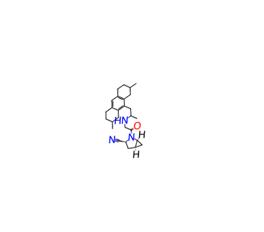 CC1CCc2cc3c(c(CC(C)NCC(=O)N4[C@H](C#N)C[C@@H]5C[C@@H]54)c2C1)CC(C)CC3